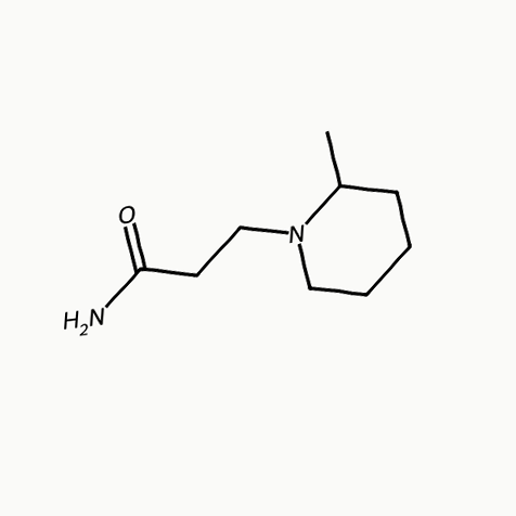 CC1CCCCN1CCC(N)=O